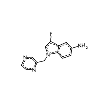 Nc1ccc2c(c1)c(F)cn2Cc1cnccn1